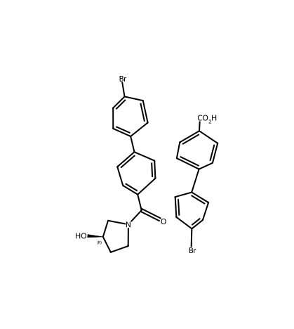 O=C(O)c1ccc(-c2ccc(Br)cc2)cc1.O=C(c1ccc(-c2ccc(Br)cc2)cc1)N1CC[C@@H](O)C1